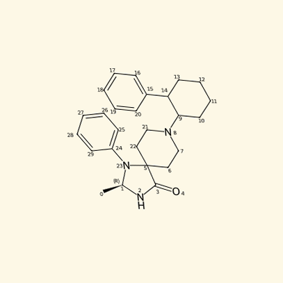 C[C@@H]1NC(=O)C2(CCN(C3CCCCC3c3ccccc3)CC2)N1c1ccccc1